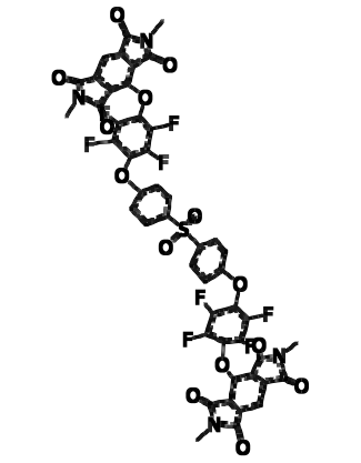 Cn1c(=O)c2cc3c(=O)n(C)c(=O)c3c(Oc3c(F)c(F)c(Oc4ccc(S(=O)(=O)c5ccc(Oc6c(F)c(F)c(Oc7c8c(=O)n(C)c(=O)c8cc8c(=O)n(C)c(=O)c78)c(F)c6F)cc5)cc4)c(F)c3F)c2c1=O